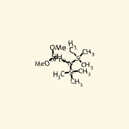 CCCN([Si](C)(C)C)[Si](C)(C)C.CO[SiH2]OC